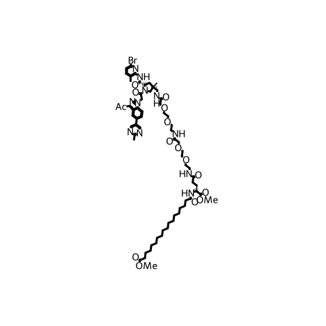 COC(=O)CCCCCCCCCCCCCCCCC(=O)N[C@@H](CCC(=O)NCCOCCOCC(=O)NCCOCCOCC(=O)NC[C@@]1(C)C[C@@H](C(=O)Nc2nc(Br)ccc2C)N(C(=O)Cn2nc(C(C)=O)c3cc(-c4cnc(C)nc4)ccc32)C1)C(=O)OC